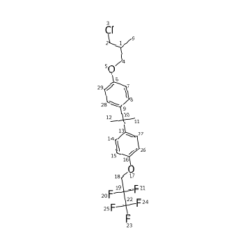 CC(CCl)COc1ccc(C(C)(C)c2ccc(OCC(F)(F)C(F)(F)F)cc2)cc1